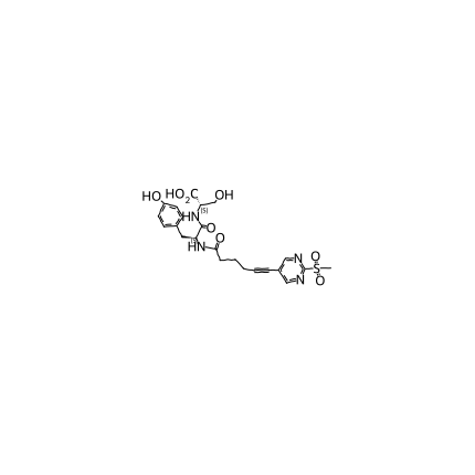 CS(=O)(=O)c1ncc(C#CCCCC(=O)N[C@@H](Cc2ccc(O)cc2)C(=O)N[C@@H](CO)C(=O)O)cn1